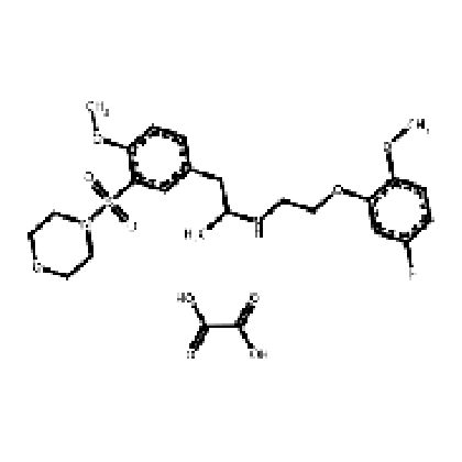 COc1ccc(F)cc1OCCNC(C)Cc1ccc(OC)c(S(=O)(=O)N2CCOCC2)c1.O=C(O)C(=O)O